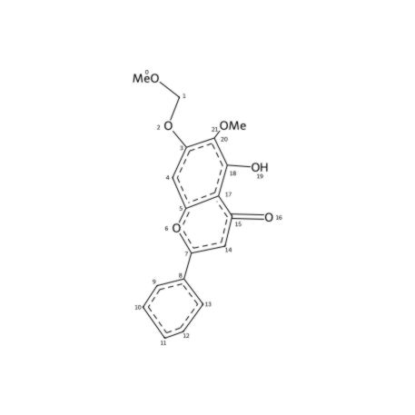 COCOc1cc2oc(-c3ccccc3)cc(=O)c2c(O)c1OC